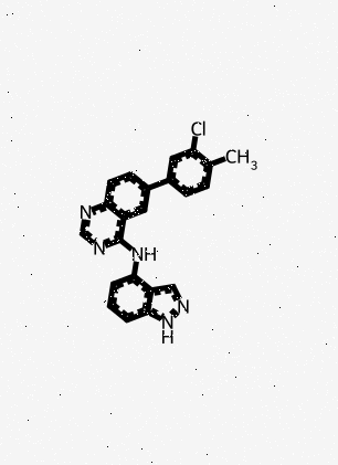 Cc1ccc(-c2ccc3ncnc(Nc4cccc5[nH]ncc45)c3c2)cc1Cl